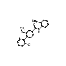 COc1cc(C(=O)Nc2ccccc2C#N)ccc1-c1ncccc1Cl